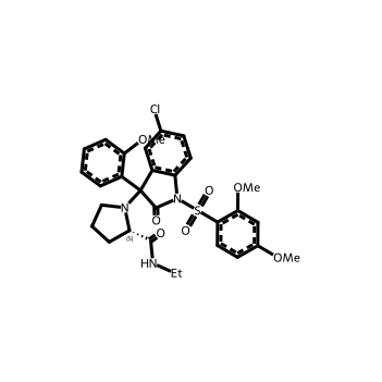 CCNC(=O)[C@@H]1CCCN1C1(c2ccccc2OC)C(=O)N(S(=O)(=O)c2ccc(OC)cc2OC)c2ccc(Cl)cc21